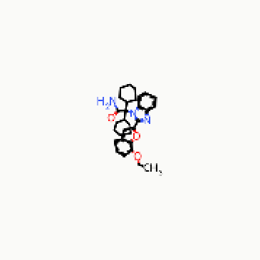 CCOc1cccc2cc(-c3nc4ccccc4n3C(C(N)=O)(C3CCCCC3)C3CCCCC3)oc12